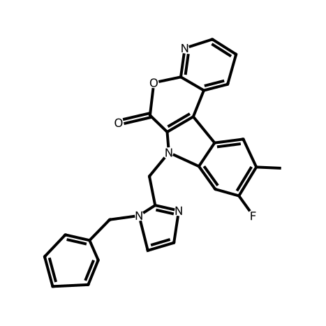 Cc1cc2c3c4cccnc4oc(=O)c3n(Cc3nccn3Cc3ccccc3)c2cc1F